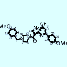 COc1ccc(CN2CCN(C(=O)c3cnn4c(C(F)(F)F)cc(-c5ccc(OC)cc5)nc34)CC2)cc1